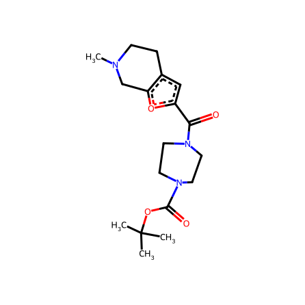 CN1CCc2cc(C(=O)N3CCN(C(=O)OC(C)(C)C)CC3)oc2C1